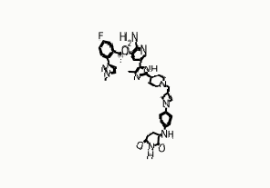 Cc1nc(C2CCN(CC3CN(c4ccc(NC5CCC(=O)NC5=O)cc4)C3)CC2)[nH]c1-c1cnc(N)c(O[C@H](C)c2cc(F)ccc2-c2ccn(C)n2)c1